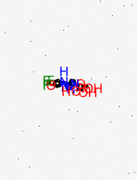 OCC1OC(n2ccc3c(Nc4ccc(OC(F)(F)F)cc4)ncnc32)C(O)C1O